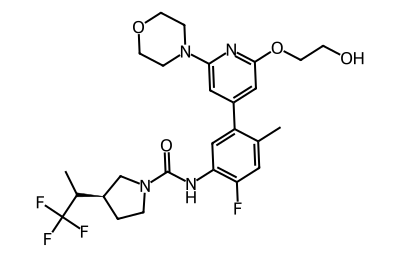 Cc1cc(F)c(NC(=O)N2CC[C@@H](C(C)C(F)(F)F)C2)cc1-c1cc(OCCO)nc(N2CCOCC2)c1